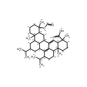 CC(C)C1CC2C3=C4C(=CC5C(C)(C(=O)O)CCCC5(C)C4CCC3C(C)C)C3CC4C(C)(OC=O)CCCC4(C)C(C1)C32